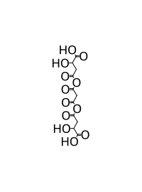 O=C(CC(=O)OC(=O)CC(O)C(=O)O)OC(=O)CC(O)C(=O)O